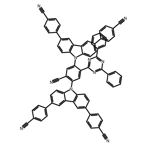 N#Cc1ccc(-c2ccc3c(c2)c2cc(-c4ccc(C#N)cc4)ccc2n3-c2cc(-c3nc(-c4ccccc4)nc(-c4ccccc4)n3)c(-n3c4ccc(-c5ccc(C#N)cc5)cc4c4cc(-c5ccc(C#N)cc5)ccc43)cc2C#N)cc1